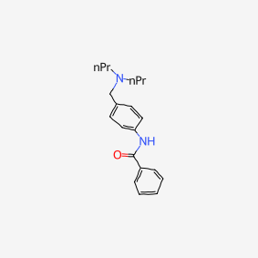 CCCN(CCC)Cc1ccc(NC(=O)c2ccccc2)cc1